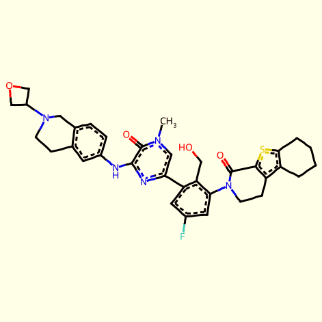 Cn1cc(-c2cc(F)cc(N3CCc4c(sc5c4CCCC5)C3=O)c2CO)nc(Nc2ccc3c(c2)CCN(C2COC2)C3)c1=O